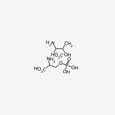 CC(O)C(N)C(=O)O.NC(COP(=O)(O)O)C(=O)O